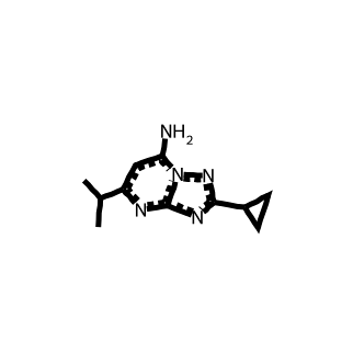 CC(C)c1cc(N)n2nc(C3CC3)nc2n1